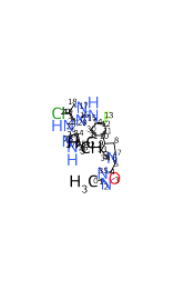 Cc1noc(CN2CCC(c3cc(F)c(Nc4ncc(Cl)c(Nc5cc(C)[nH]n5)n4)cc3C)CC2)n1